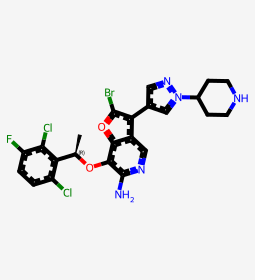 C[C@@H](Oc1c(N)ncc2c(-c3cnn(C4CCNCC4)c3)c(Br)oc12)c1c(Cl)ccc(F)c1Cl